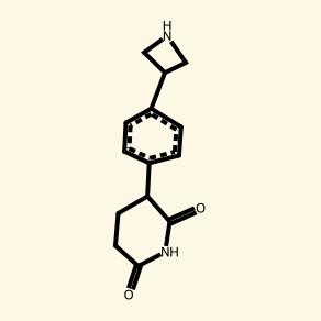 O=C1CCC(c2ccc(C3CNC3)cc2)C(=O)N1